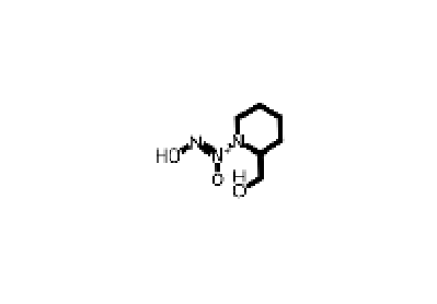 [O-]/[N+](=N\O)N1CCCCC1CO